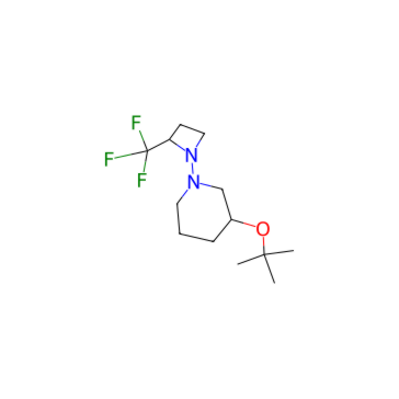 CC(C)(C)OC1CCCN(N2CCC2C(F)(F)F)C1